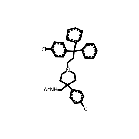 CC(=O)NCC1(c2ccc(Cl)cc2)CCN(CCC(c2ccccc2)(c2ccccc2)c2ccc(Cl)cc2)CC1